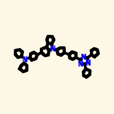 c1ccc(-c2nc(-c3ccccc3)nc(-c3ccc(-c4ccc(-n5c6ccccc6c6cc(-c7ccc(N(c8ccccc8)c8ccccc8)cc7)ccc65)cc4)cc3)n2)cc1